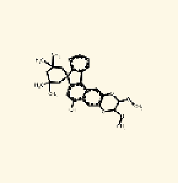 COC1Oc2cc3c(O)cc4c(c3cc2OC1OC)-c1ccccc1C41CC(C)(C)CC(C)(C)C1